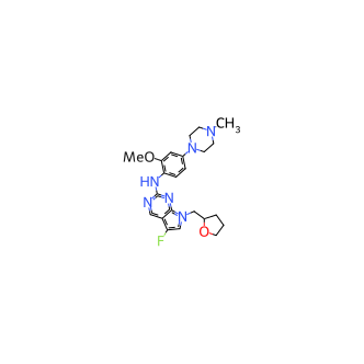 COc1cc(N2CCN(C)CC2)ccc1Nc1ncc2c(F)cn(CC3CCCO3)c2n1